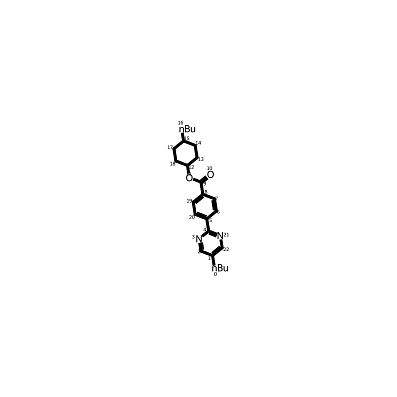 CCCCc1cnc(-c2ccc(C(=O)OC3CCC(CCCC)CC3)cc2)nc1